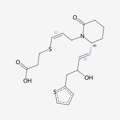 O=C(O)CCS/C=C\CN1C(=O)CCC[C@@H]1/C=C/C(O)Cc1cccs1